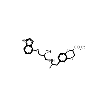 CCOC(=O)[C@H]1COc2cc(C[C@@H](C)NC[C@H](O)COc3cccc4[nH]ccc34)ccc2O1